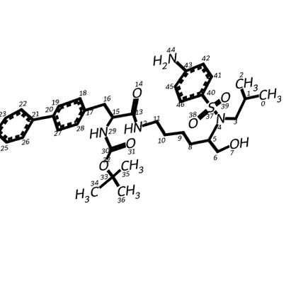 CC(C)CN(C(CO)CCCCNC(=O)C(Cc1ccc(-c2ccccc2)cc1)NC(=O)OC(C)(C)C)S(=O)(=O)c1ccc(N)cc1